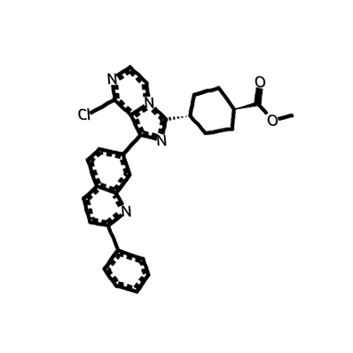 COC(=O)[C@H]1CC[C@H](c2nc(-c3ccc4ccc(-c5ccccc5)nc4c3)c3c(Cl)nccn32)CC1